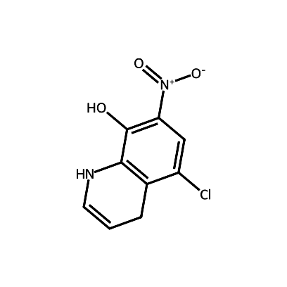 O=[N+]([O-])c1cc(Cl)c2c(c1O)NC=CC2